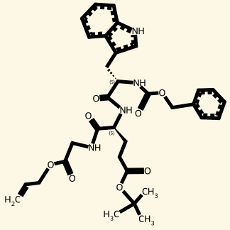 C=CCOC(=O)CNC(=O)[C@H](CCC(=O)OC(C)(C)C)NC(=O)[C@H](Cc1c[nH]c2ccccc12)NC(=O)OCc1ccccc1